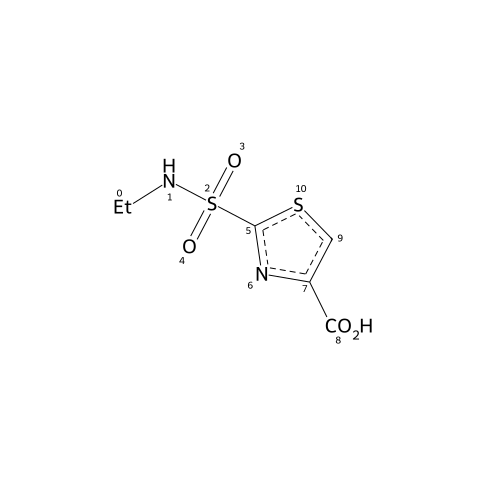 CCNS(=O)(=O)c1nc(C(=O)O)cs1